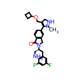 CN1NCC(COC2CCC2)=C1c1ccc2c(c1)CN([C@H](CN)Cc1cc(F)cc(F)c1)C2=O